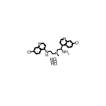 CN(CCNc1ccnc2cc(Cl)ccc12)CC(N)c1ccnc2cc(Cl)ccc12.Cl.Cl.Cl